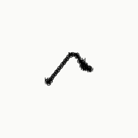 CC[C@H](C)[C@H]([C@@H](CC(=O)N1CCC[C@H]1[C@H](OC)[C@@H](C)C(=O)N[C@@H](Cc1ccccc1)c1nc(C(=O)NCCc2ccc(OC(=O)N(C)CCSSCCN(C)C(=O)CCOCCOCCOCCOCCOCCOCCOCCOCCOCCOCCOCCOCCNC(=O)CCN3C(=O)C=CC3=O)cc2)cs1)OC)N(C)C(=O)[C@@H](NC(=O)[C@H](C(C)C)N(C)C)C(C)C